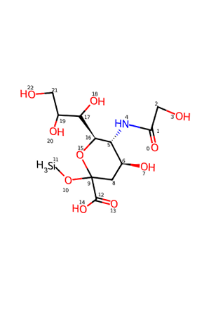 O=C(CO)N[C@@H]1[C@@H](O)CC(O[SiH3])(C(=O)O)O[C@H]1C(O)C(O)CO